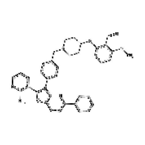 COc1cccc(OC2CCN(Cc3ccc(-n4c(-c5cccnc5N)nc5ccc(-c6ccccc6)nc54)cc3)CC2)c1C=O